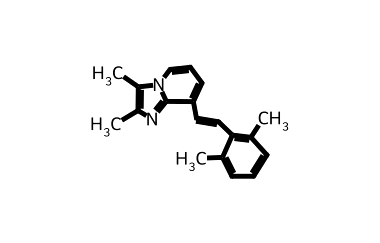 Cc1cccc(C)c1C=Cc1cccn2c(C)c(C)nc12